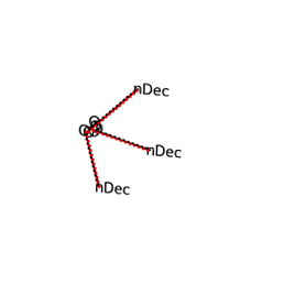 CCCCCCCCCCCCCCCCCCCCCCCCCCCCCCCCCC(=O)OCC(COC(=O)CCCCCCCCCCCCCCCCCCCCCCCCCCCCCCCCC)OC(=O)CCCCCCCCCCCCCCCCCCCCCCCCCCCCCCCCC